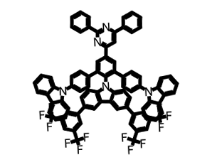 FC(F)(F)c1cc(-c2ccc3c(c2)c2cc(-c4cc(C(F)(F)F)cc(C(F)(F)F)c4)ccc2n3-c2c(-c3ccc(-n4c5ccccc5c5ccccc54)cc3)cc(-c3cc(-c4ccccc4)nc(-c4ccccc4)n3)cc2-c2ccc(-n3c4ccccc4c4ccccc43)cc2)cc(C(F)(F)F)c1